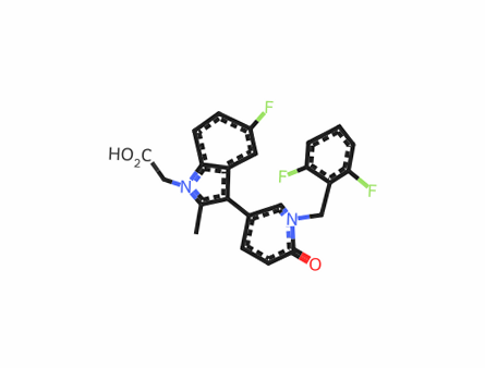 Cc1c(-c2ccc(=O)n(Cc3c(F)cccc3F)c2)c2cc(F)ccc2n1CC(=O)O